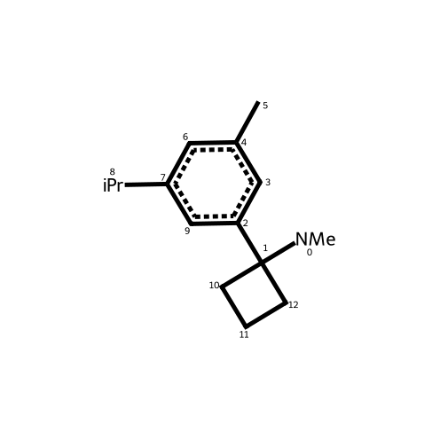 CNC1(c2cc(C)cc(C(C)C)c2)CCC1